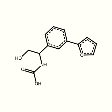 O=C(O)NC(CO)c1cccc(-c2ccco2)c1